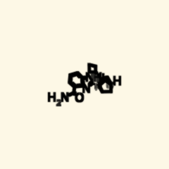 NC(=O)c1cccc2[nH]c([C@]34CC[C@H](CN3C3CCC3)C4)nc12